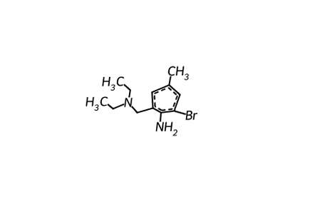 CCN(CC)Cc1cc(C)cc(Br)c1N